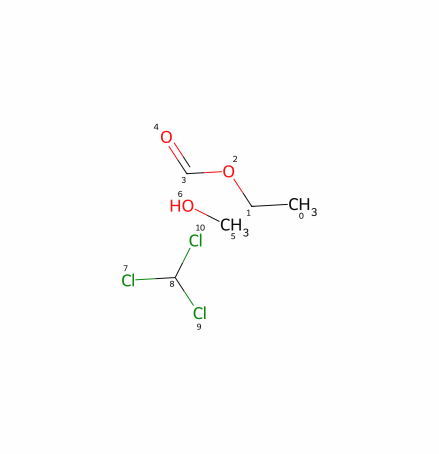 CCOC=O.CO.ClC(Cl)Cl